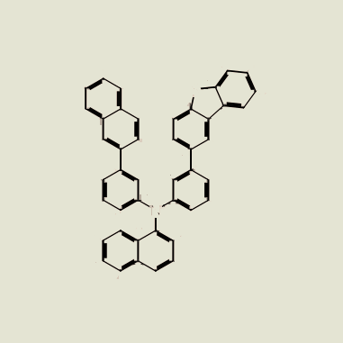 c1cc(-c2ccc3ccccc3c2)cc(N(c2cccc(-c3ccc4sc5ccccc5c4c3)c2)c2cccc3ccccc23)c1